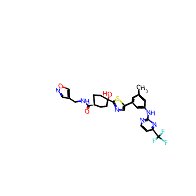 Cc1cc(Nc2nccc(C(F)(F)F)n2)cc(-c2cnc([C@]3(O)CC[C@@H](C(=O)NCc4cnoc4)CC3)s2)c1